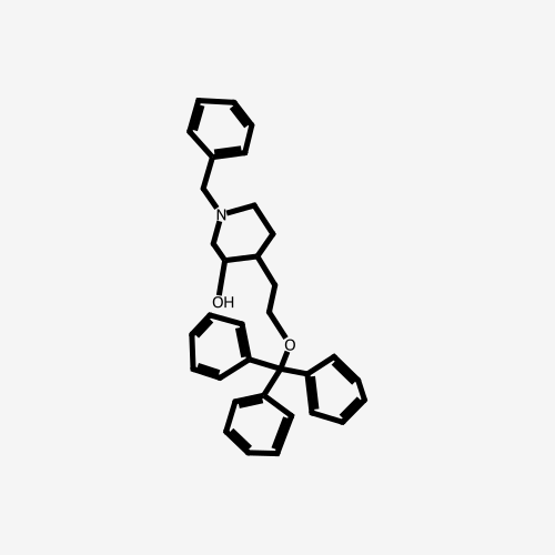 OC1CN(Cc2ccccc2)CCC1CCOC(c1ccccc1)(c1ccccc1)c1ccccc1